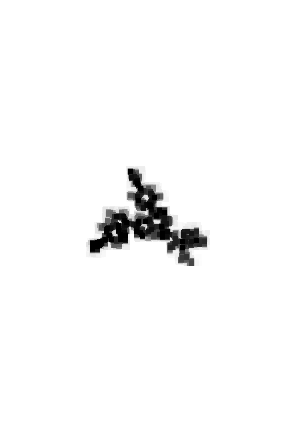 CC(C)(O)C(F)CNC(=O)c1cnc(-c2ccc3cc(C#N)cnn23)cc1Nc1ccc(C#N)cn1